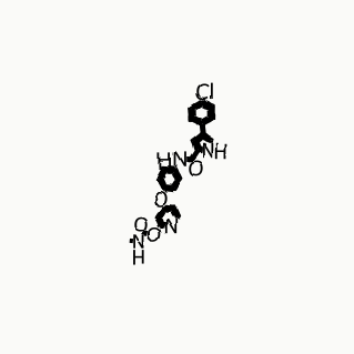 CNC(=O)Oc1cc(Oc2ccc(NC(=O)c3cc(-c4ccc(Cl)cc4)c[nH]3)cc2)ccn1